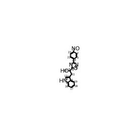 O=Nc1ccc(-c2noc(C(O)Cc3c[nH]c4ccccc34)n2)cc1